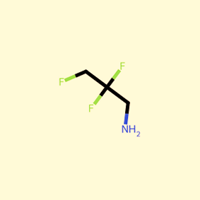 NCC(F)(F)CF